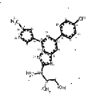 C[C@@H](CO)N(C)c1nc2cc(-c3ccc(Cl)cc3)nc(-c3cnn(C)c3)n2n1